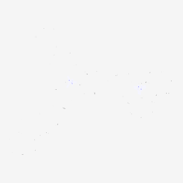 c1ccc(-c2ccc(N(c3ccc(-c4ccc5c(c4)sc4ccccc45)cc3)c3ccc(-c4ccc5c(c4)c4cccc6c7ccccc7n5c64)cc3)cc2)cc1